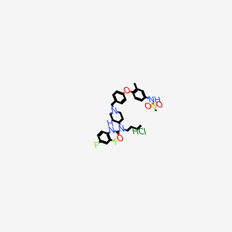 CCCCN(C(=O)Nc1ccc(F)cc1F)C1CCN(Cc2ccc(Oc3ccc(NS(C)(=O)=O)cc3C)cc2)CC1.Cl